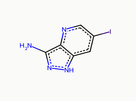 Nc1n[nH]c2cc(I)cnc12